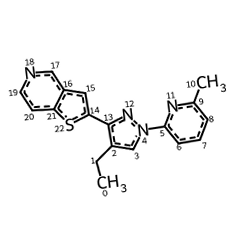 CCc1cn(-c2cccc(C)n2)nc1-c1cc2cnccc2s1